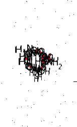 CC[C@H](C)[C@@H]1NC(=O)[C@@H](CCN)NC(=O)[C@H](CC(C)C)NC(=O)[C@H]([C@H](O)C(C)C)NC(=O)[C@@H](NC(=O)[C@H](CC(C)(C)C)NC(=O)[C@H](N)CC(C)(C)C)[C@@H](c2ccccc2)NC(=O)C(CO)NC(=O)[C@H](CO)NC(=O)CNC(=O)[C@H]([C@H](C)O)NC1=O